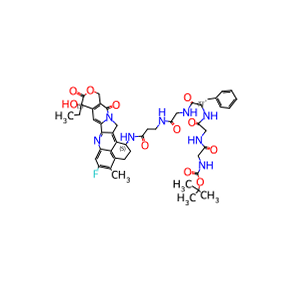 CC[C@@]1(O)C(=O)OCc2c1cc1n(c2=O)Cc2c-1nc1cc(F)c(C)c3c1c2[C@@H](NC(=O)CCNC(=O)CNC(=O)[C@H](Cc1ccccc1)NC(=O)CNC(=O)CNC(=O)OC(C)(C)C)CC3